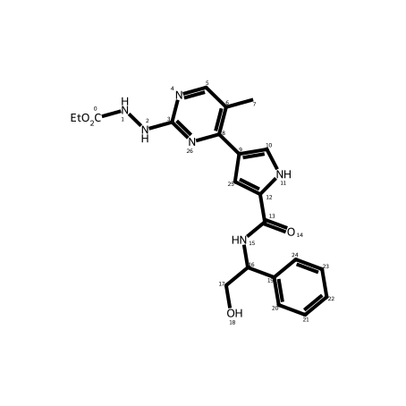 CCOC(=O)NNc1ncc(C)c(-c2c[nH]c(C(=O)NC(CO)c3ccccc3)c2)n1